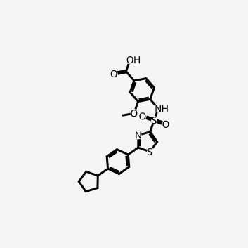 COc1cc(C(=O)O)ccc1NS(=O)(=O)c1csc(-c2ccc(C3CCCC3)cc2)n1